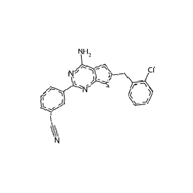 N#Cc1cccc(-c2nc(N)c3cc(Cc4ccccc4Cl)sc3n2)c1